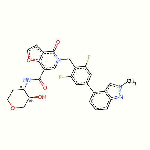 Cn1cc2c(-c3cc(F)c(Cn4cc(C(=O)N[C@H]5CCOC[C@@H]5O)c5occc5c4=O)c(F)c3)cccc2n1